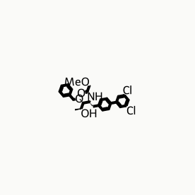 COCC(=O)N[C@H](Cc1ccc(-c2cc(Cl)cc(Cl)c2)cc1)[C@@H](OCc1ccccc1)[C@H](C)O